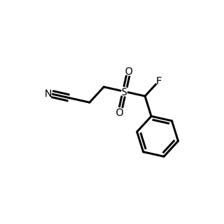 N#CCCS(=O)(=O)C(F)c1ccccc1